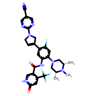 C[C@@H]1CN(c2cc(F)c(C3=CCN(c4ncc(C#N)cn4)C3)cc2NC(=O)c2c[nH]c(=O)cc2C(F)(F)F)C[C@H](C)N1C